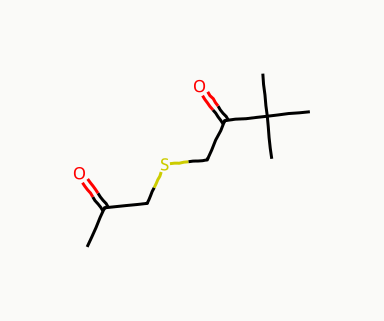 CC(=O)CSCC(=O)C(C)(C)C